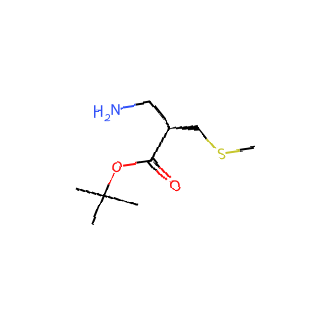 CSC[C@H](CN)C(=O)OC(C)(C)C